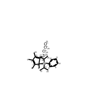 CC1=C(C)C(C)([Si](c2ccccc2)(C(C)C)C(C)C)[C]([Ti+3])=C1C.[Cl-].[Cl-].[Cl-]